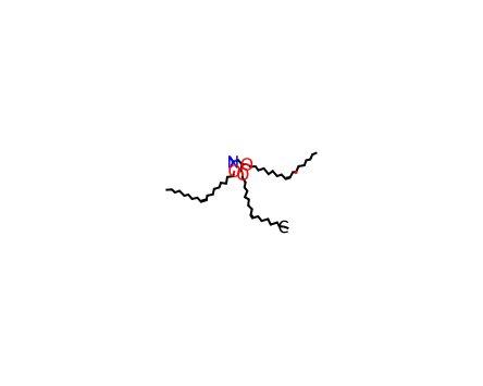 CCCCCCCC/C=C\CCCCCCCCOC(CN(C)C)C(OCCCCCCCC/C=C\CCCCCCCC)OCCCCCCCC/C=C\CCCCCCCC